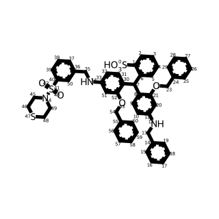 O=S(=O)(O)c1ccccc1C(c1ccc(NCc2ccccc2)cc1OCc1ccccc1)c1ccc(NCc2cccc(S(=O)(=O)N3CCSCC3)c2)cc1OCc1ccccc1